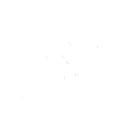 CCCN(CC1CC1)c1c2c(nc3c(-c4ccc(OC)cc4C)c(C)nn13)CCC2.Cl